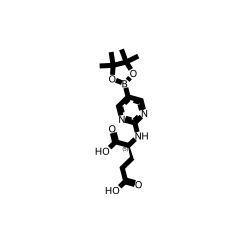 CC1(C)OB(c2cnc(N[C@@H](CCC(=O)O)C(=O)O)nc2)OC1(C)C